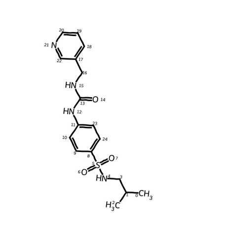 CC(C)CNS(=O)(=O)c1ccc(NC(=O)NCc2cccnc2)cc1